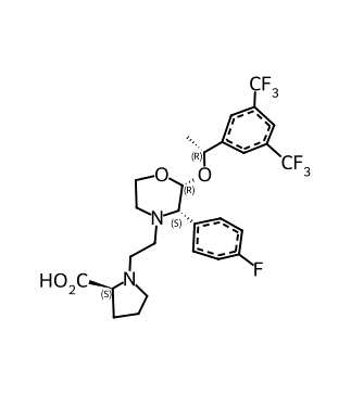 C[C@@H](O[C@H]1OCCN(CCN2CCC[C@H]2C(=O)O)[C@H]1c1ccc(F)cc1)c1cc(C(F)(F)F)cc(C(F)(F)F)c1